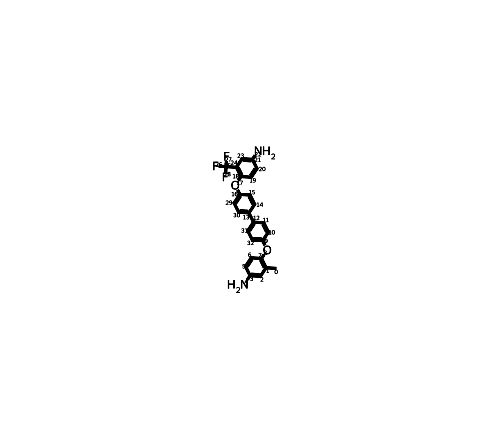 Cc1cc(N)ccc1Oc1ccc(-c2ccc(Oc3ccc(N)cc3C(F)(F)F)cc2)cc1